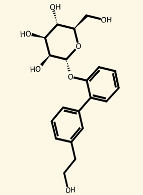 OCCc1cccc(-c2ccccc2O[C@H]2O[C@H](CO)[C@@H](O)[C@H](O)[C@@H]2O)c1